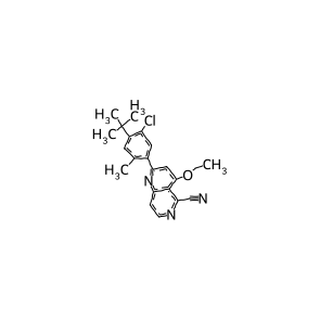 CCOc1cc(-c2cc(Cl)c(C(C)(C)C)cc2C)nc2ccnc(C#N)c12